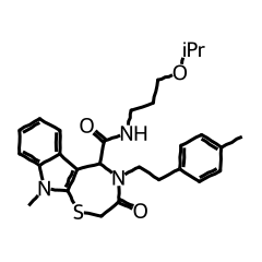 Cc1ccc(CCN2C(=O)CSc3c(c4ccccc4n3C)C2C(=O)NCCCOC(C)C)cc1